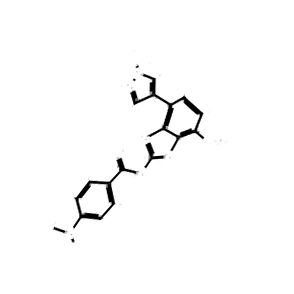 CCN(CC)c1ccc(C(=O)Nc2nc3c(-c4cnn(C)c4)ccc(OC)c3[nH]2)cc1